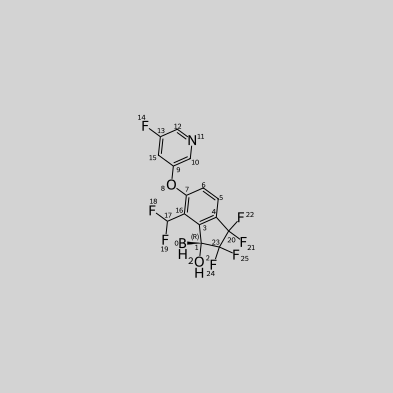 B[C@@]1(O)c2c(ccc(Oc3cncc(F)c3)c2C(F)F)C(F)(F)C1(F)F